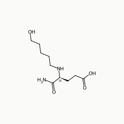 NC(=O)[C@H](CCC(=O)O)NCCCCCO